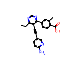 CCc1ncnc(-c2ccc(C(=O)O)c(C)c2)c1C#Cc1ccc(N)nc1